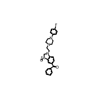 O=C(c1ccccc1)c1ccc2c(c1)[Se](=O)CN2CCN1CCN(c2ccc(F)cc2)CC1